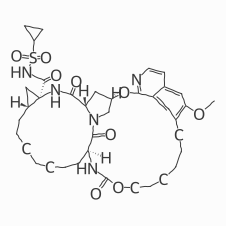 COc1cc2ccnc3c2cc1CCCCCCOC(=O)N[C@H]1CCCCCCC[C@@H]2C[C@@]2(C(=O)NS(=O)(=O)C2CC2)NC(=O)[C@@H]2C[C@H](CN2C1=O)O3